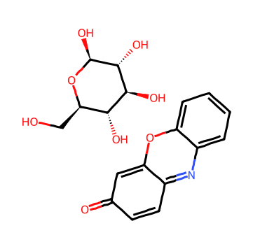 O=c1ccc2nc3ccccc3oc-2c1.OC[C@H]1O[C@@H](O)[C@H](O)[C@@H](O)[C@@H]1O